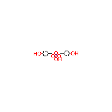 O=P(O)(OCc1ccc(O)cc1)OCc1ccc(O)cc1